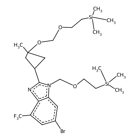 CC1(OCOCC[Si](C)(C)C)CC(c2nc3c(C(F)(F)F)cc(Br)cc3n2COCC[Si](C)(C)C)C1